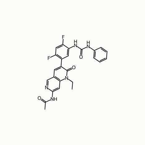 CCn1c(=O)c(-c2cc(NC(=O)Nc3ccccc3)c(F)cc2F)cc2cnc(NC(C)=O)cc21